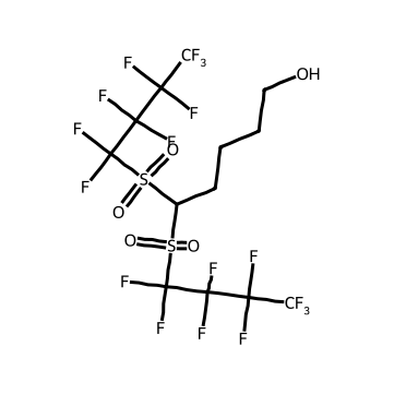 O=S(=O)(C(CCCCO)S(=O)(=O)C(F)(F)C(F)(F)C(F)(F)C(F)(F)F)C(F)(F)C(F)(F)C(F)(F)C(F)(F)F